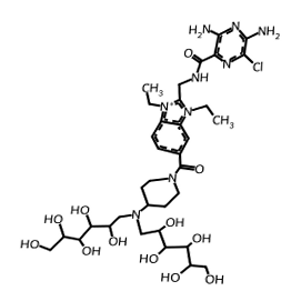 CCn1c(CNC(=O)c2nc(Cl)c(N)nc2N)[n+](CC)c2ccc(C(=O)N3CCC(N(CC(O)C(O)C(O)C(O)CO)CC(O)C(O)C(O)C(O)CO)CC3)cc21